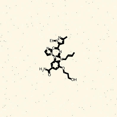 CC=CCn1c(=NC(=O)c2cc(C)nn2CC)n(-n2ccnc2)c2cc(C(N)=O)cc(OCCCO)c21